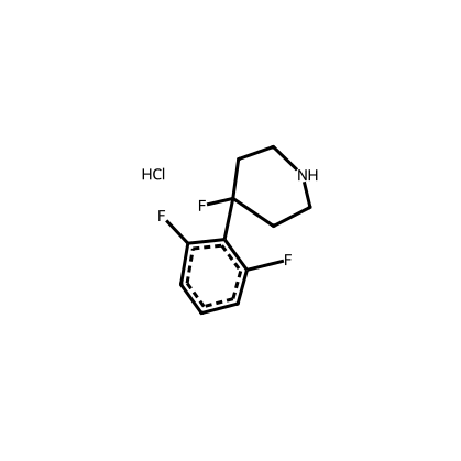 Cl.Fc1cccc(F)c1C1(F)CCNCC1